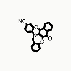 N#Cc1ccc(N2Cc3ccccc3OC3=C2C(=O)c2ccccc2C3=O)cc1